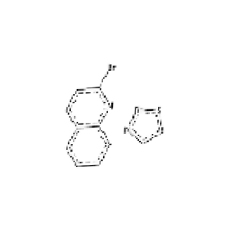 Brc1ccc2ccccc2n1.c1csnn1